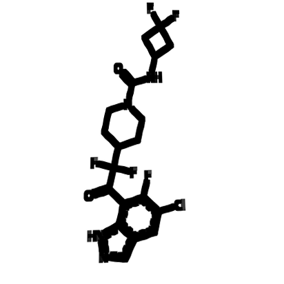 O=C(NC1CC(F)(F)C1)N1CCC(C(F)(F)C(=O)c2c(F)c(Cl)cc3cn[nH]c23)CC1